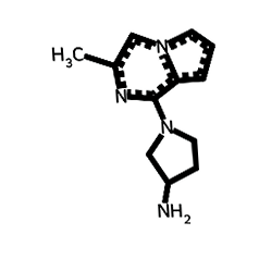 Cc1cn2cccc2c(N2CCC(N)C2)n1